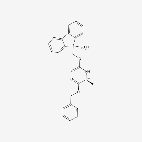 C[C@H](NC(=O)OCC1(S(=O)(=O)O)c2ccccc2-c2ccccc21)C(=O)OCc1ccccc1